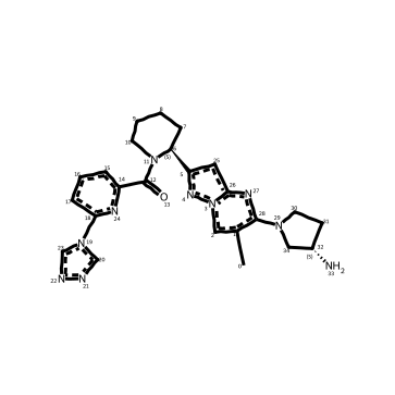 Cc1cn2nc([C@@H]3CCCCN3C(=O)c3cccc(-n4cnnc4)n3)cc2nc1N1CC[C@H](N)C1